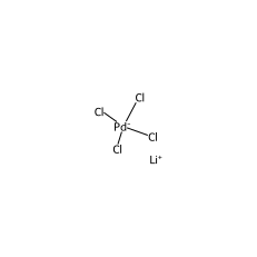 [Cl][Pd-]([Cl])([Cl])[Cl].[Li+]